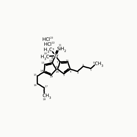 CCCCC1=CC[C]([Zr]([CH3])([CH3])(=[SiH2])[C]2=CC(CCCC)=CC2)=C1.Cl.Cl